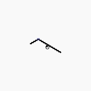 CCCCCCCC/C=C\CCCCCCCCC(C=O)CCCCCCCCCCCCCC